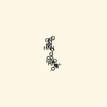 Cc1ccc(-n2nc(C(C)(C)C)cc2NC(=O)Nc2ccc(OCc3ccnc(Nc4cnc(C(=O)N5C[C@@H](C)O[C@@H](C)C5)cn4)c3)c3ccccc23)cc1